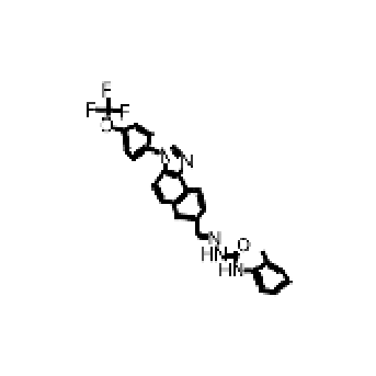 Cc1ccccc1NC(=O)N/N=C/c1ccc2c(ccc3c2ncn3-c2ccc(OC(F)(F)F)cc2)c1